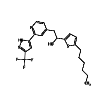 CCCCCCc1ccc(C(O)Cc2ccnc(-c3cc(C(F)(F)F)n[nH]3)c2)s1